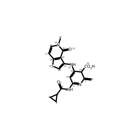 C=C1N=C(NC(=O)C2CC2)C=C(Nc2csc3ccn(C)c(=O)c23)C1C(=O)O